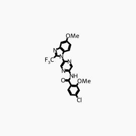 COc1ccc2c(c1)nc(C(F)(F)F)n2-c1cnc(NC(=O)c2ccc(Cl)cc2OC)cn1